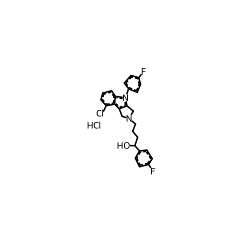 Cl.OC(CCCN1Cc2c(n(-c3ccc(F)cc3)c3cccc(Cl)c23)C1)c1ccc(F)cc1